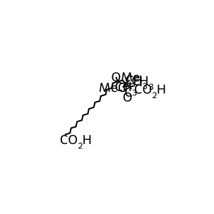 COC(C)(CCCCCCCCCCCCCCCCCC(=O)O)CC(C)(OC)C(=C=O)C(C)C(=O)O